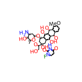 COc1cccc2c1C(=O)c1c(O)c3c(c(O)c1C2=O)C[C@@](O)(C(=O)CO)C[C@@H]3O[C@H]1C[C@H](N)[C@H](O)[C@H](C)O1.O=c1ccn(F)c(=O)[nH]1